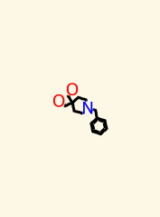 O=CC1(C=O)CCN(Cc2ccccc2)CC1